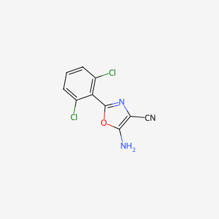 N#Cc1nc(-c2c(Cl)cccc2Cl)oc1N